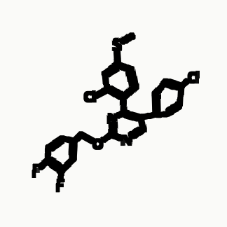 CSc1ccc(-c2nc(OCc3ccc(F)c(F)c3)ncc2-c2ccc(Cl)cc2)c(Cl)c1